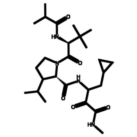 CNC(=O)C(=O)C(CC1CC1)NC(=O)[C@@H]1C(C(C)C)CCN1C(=O)[C@@H](NC(=O)C(C)C)C(C)(C)C